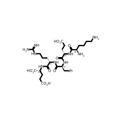 CC(C)C[C@H](NC(=O)[C@H](CCC(=O)O)NC(=O)[C@H](N)CCCCN)C(=O)N[C@@H](CCCNC(=N)N)C(=O)N[C@H](CCC(=O)O)C(=O)O